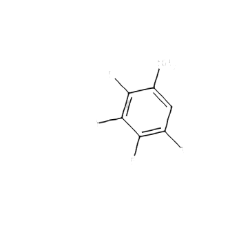 Nc1cc(I)c(F)c(I)c1F